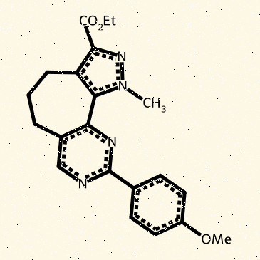 CCOC(=O)c1nn(C)c2c1CCCc1cnc(-c3ccc(OC)cc3)nc1-2